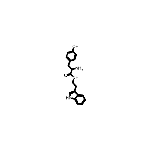 NC(Cc1ccc(O)cc1)C(=O)NCCc1c[nH]c2ccccc12